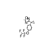 FC(F)C(F)(F)Oc1ccc(C2(c3n[c]on3)CC2)cc1